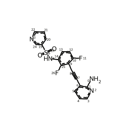 Nc1ncccc1C#Cc1c(F)ccc(NS(=O)(=O)c2cccnc2)c1F